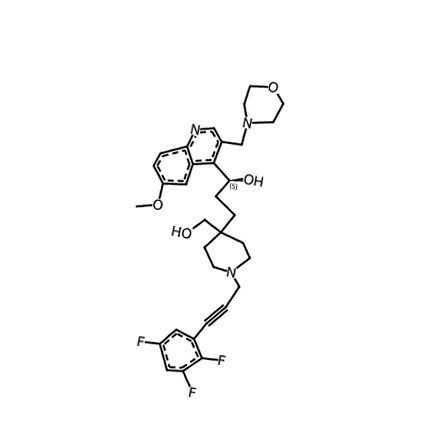 COc1ccc2ncc(CN3CCOCC3)c([C@@H](O)CCC3(CO)CCN(CC#Cc4cc(F)cc(F)c4F)CC3)c2c1